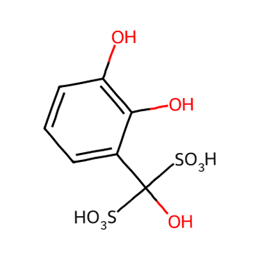 O=S(=O)(O)C(O)(c1cccc(O)c1O)S(=O)(=O)O